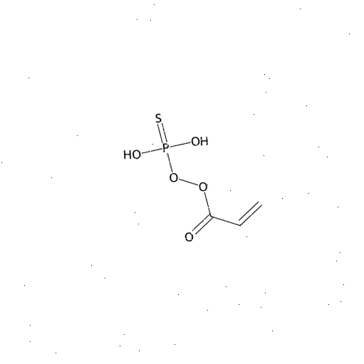 C=CC(=O)OOP(O)(O)=S